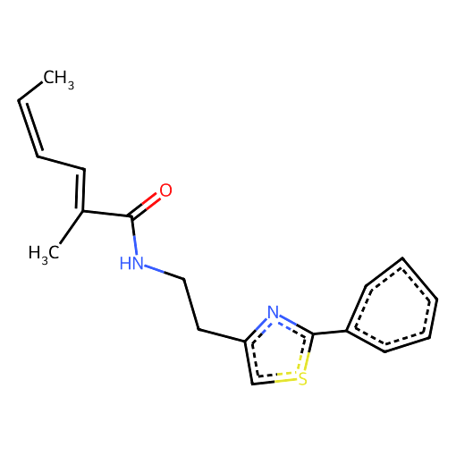 C/C=C\C=C(/C)C(=O)NCCc1csc(-c2ccccc2)n1